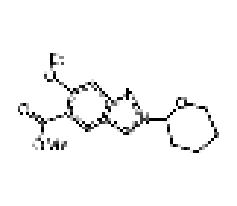 CCOc1cc2nn(C3CCCCO3)cc2cc1C(=O)OC